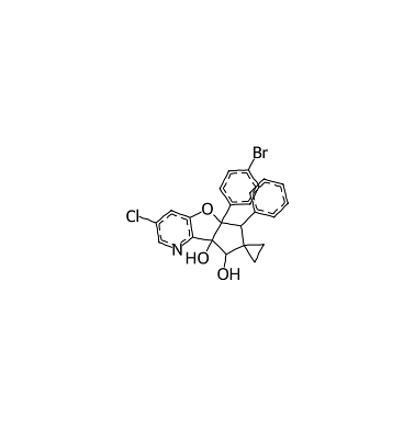 OC1C2(CC2)C(c2ccccc2)C2(c3ccc(Br)cc3)Oc3cc(Cl)cnc3C12O